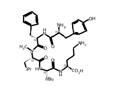 CCCC[C@H](NC(=O)[C@H](CC(C)C)N(C)C(=O)[C@H](Cc1ccccc1)NC(=O)[C@@H](N)Cc1ccc(O)cc1)C(=O)N[C@@H](CCCN)C(=O)O